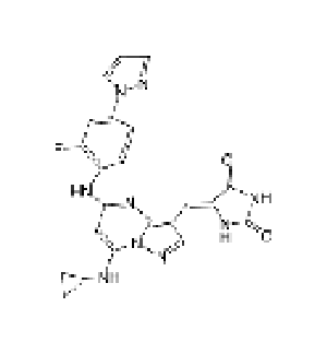 O=C1NC(=O)/C(=C/c2cnn3c(NC4CC4)cc(Nc4ccc(-n5cccn5)cc4F)nc23)N1